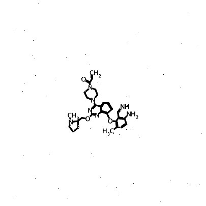 C=CC(=O)N1CCN(c2nc(OCC3CCCN3C)nc3c(Oc4c(C)ccc(N)c4C=N)cccc23)CC1